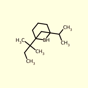 CCC(C)(C)C12BC(C(C)C)(CCC1)C2